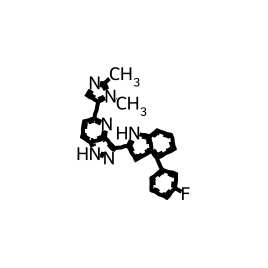 Cc1ncc(-c2ccc3[nH]nc(-c4cc5c(-c6cccc(F)c6)cccc5[nH]4)c3n2)n1C